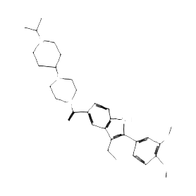 CCc1c(-c2ccc(OC)c(OC)c2)[nH]c2ccc(C(=O)N3CCN(C4CCN(C(C)C)CC4)CC3)cc12